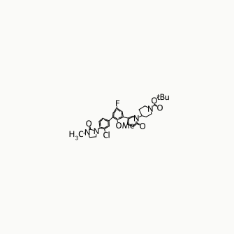 COc1c(-c2ccc(N3CCN(C)C3=O)c(Cl)c2)cc(F)cc1-c1ccc(=O)n(C2CCN(C(=O)OC(C)(C)C)CC2)c1